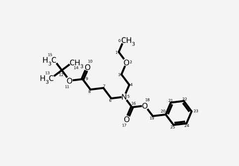 CCOCCN(CCCC(=O)OC(C)(C)C)C(=O)OCc1ccccc1